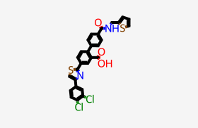 O=C(NCc1cccs1)c1ccc(-c2ccc(-c3nc(-c4ccc(Cl)c(Cl)c4)cs3)cc2C(=O)O)cc1